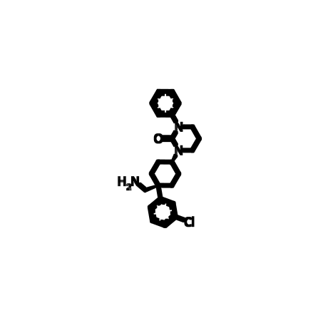 NC[C@]1(c2cccc(Cl)c2)CC[C@H](N2CCCN(c3ccccc3)C2=O)CC1